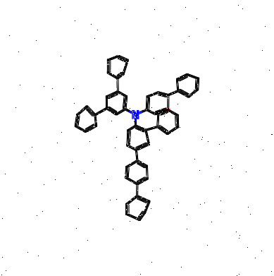 c1ccc(-c2ccc(-c3ccc(N(c4ccc(-c5ccccc5)cc4)c4cc(-c5ccccc5)cc(-c5ccccc5)c4)c(-c4ccccc4)c3)cc2)cc1